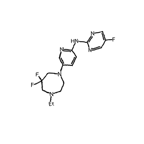 CCN1CCN(c2ccc(Nc3ncc(F)cn3)nc2)CC(F)(F)C1